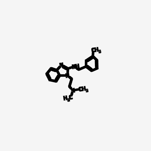 Cc1cccc(CNc2nc3ccccc3n2CCN(C)C)c1